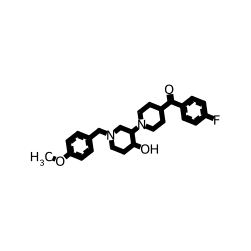 COc1ccc(CN2CCC(O)C(N3CCC(C(=O)c4ccc(F)cc4)CC3)C2)cc1